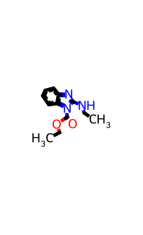 CCNc1nc2ccccc2n1C(=O)OCC